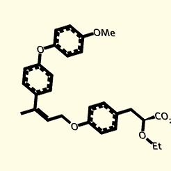 CCOC(=O)[C@H](Cc1ccc(OC/C=C(/C)c2ccc(Oc3ccc(OC)cc3)cc2)cc1)OCC